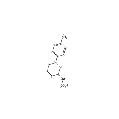 Nc1ccc(N2CCCC(NC(=O)O)C2)cc1